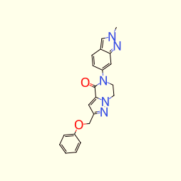 Cn1cc2ccc(N3CCn4nc(COc5ccccc5)cc4C3=O)cc2n1